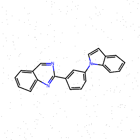 c1cc(-c2ncc3ccccc3n2)cc(-n2ccc3ccccc32)c1